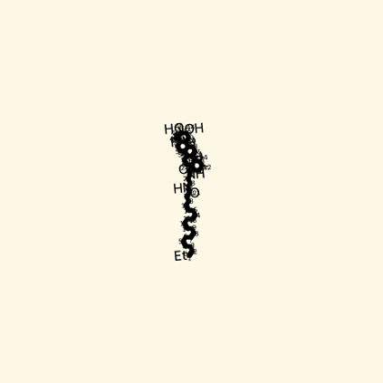 CC/C=C\C/C=C\C/C=C\C/C=C\C/C=C\C/C=C\CCC(=O)NCCNC(=O)[C@]12CC[C@@H](C)[C@H](C)[C@H]1C1=CC[C@@H]3[C@@]4(C)C[C@@H](O)[C@H](O)C(C)(C)[C@@H]4CC[C@@]3(C)[C@]1(C)CC2